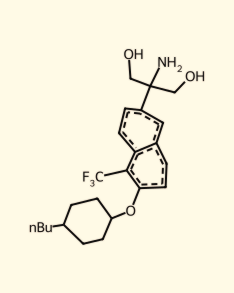 CCCCC1CCC(Oc2ccc3cc(C(N)(CO)CO)ccc3c2C(F)(F)F)CC1